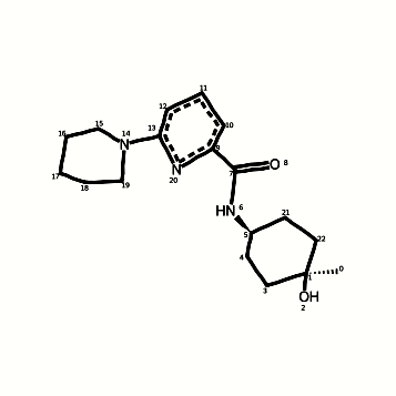 C[C@]1(O)CC[C@@H](NC(=O)c2cccc(N3CCCCC3)n2)CC1